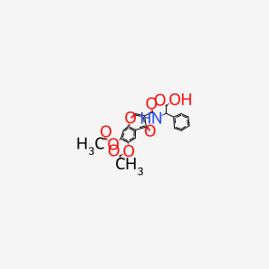 CC(=O)Oc1cc2occ(C(=O)NC(C(=O)O)c3ccccc3)c(=O)c2cc1OC(C)=O